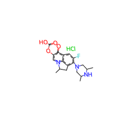 CC1CN(c2c(F)cc3c(=O)c(OC(=O)O)cn4c3c2CC4C)CC(C)N1.Cl